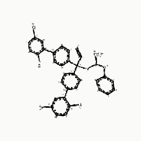 C=CC(OC(Oc1ccccc1)C(=O)O)(c1ccc(-c2cc(Cl)ccc2Cl)cc1)c1ccc(-c2cc(Cl)ccc2Cl)cc1